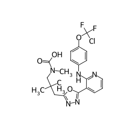 CN(CC(C)(C)Cc1nnc(-c2cccnc2Nc2ccc(OC(F)(F)Cl)cc2)o1)C(=O)O